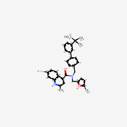 Cc1cc(C(=O)N(Cc2ccc(-c3cccc(C(C)(C)C(=O)O)c3)cc2)Cc2ccc(C(F)(F)F)o2)c2ccc(F)cc2n1